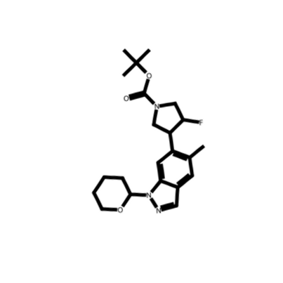 Cc1cc2cnn(C3CCCCO3)c2cc1C1CN(C(=O)OC(C)(C)C)CC1F